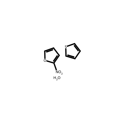 O.O=[N+]([O-])c1ccco1.c1ccsc1